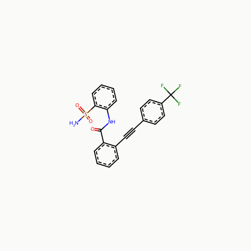 NS(=O)(=O)c1ccccc1NC(=O)c1ccccc1C#Cc1ccc(C(F)(F)F)cc1